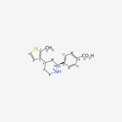 Cc1sccc1C1CCN[C@H](c2ccc(C(=O)O)cc2)C1